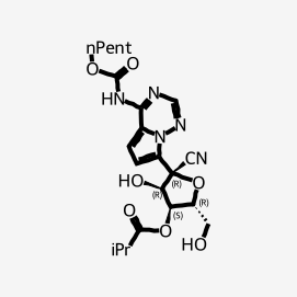 CCCCCOC(=O)Nc1ncnn2c([C@]3(C#N)O[C@H](CO)[C@@H](OC(=O)C(C)C)[C@H]3O)ccc12